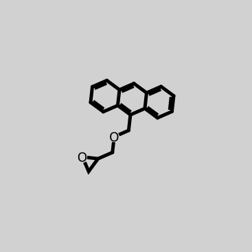 c1ccc2c(COCC3CO3)c3ccccc3cc2c1